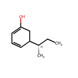 CC[C@H](C)C1C=CC=C(O)C1